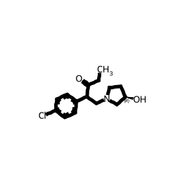 CCC(=O)C(CN1CC[C@@H](O)C1)c1ccc(Cl)cc1